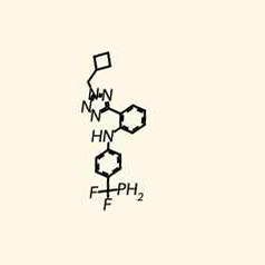 FC(F)(P)c1ccc(Nc2ccccc2-c2nnn(CC3CCC3)n2)cc1